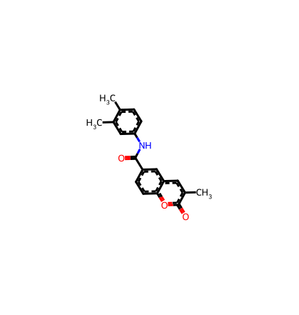 Cc1ccc(NC(=O)c2ccc3oc(=O)c(C)cc3c2)cc1C